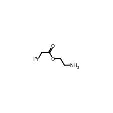 CC(C)CC(=O)OCCN